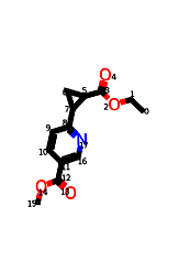 CCOC(=O)C1CC1c1ccc(C(=O)OC)cn1